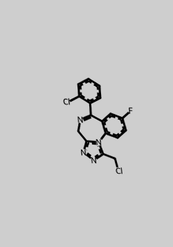 Fc1ccc2c(c1)C(c1ccccc1Cl)=NCc1nnc(CCl)n1-2